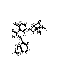 C=C(N[C@H](C)c1cccc2c1OCO2)c1cc(N2C[C@H]3C2CN3C)ccc1C